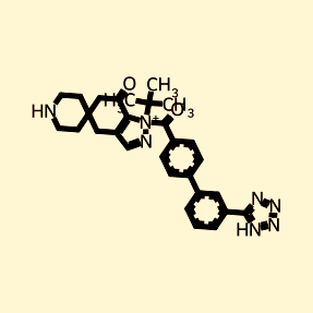 CC(C)(C)[N+]1(C(=O)c2ccc(-c3cccc(-c4nnn[nH]4)c3)cc2)N=CC2=C1C(=O)CC1(CCNCC1)C2